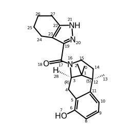 CC1(C)[C@H]2Cc3c(O)cccc3[C@]1(C)CCN2C(=O)c1n[nH]c2c1CCCC2